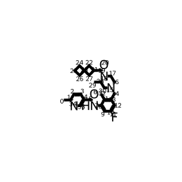 Cc1ccc(C(=O)Nc2cc(F)cc(CN3CCN(C(=O)C4CC5(CCC5)C4)C(C)C3)c2C)cn1